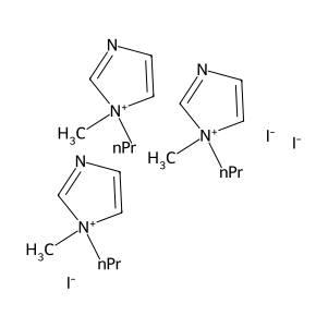 CCC[N+]1(C)C=CN=C1.CCC[N+]1(C)C=CN=C1.CCC[N+]1(C)C=CN=C1.[I-].[I-].[I-]